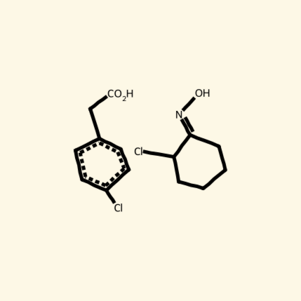 O=C(O)Cc1ccc(Cl)cc1.ON=C1CCCCC1Cl